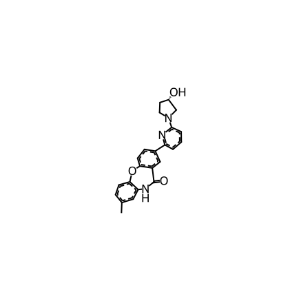 Cc1ccc2c(c1)NC(=O)c1cc(-c3cccc(N4CC[C@H](O)C4)n3)ccc1O2